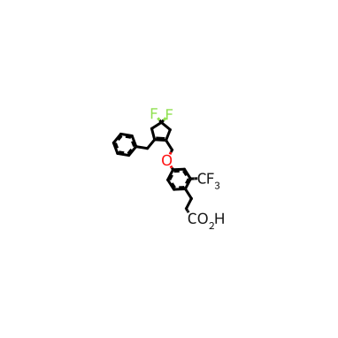 O=C(O)CCc1ccc(OCC2=C(Cc3ccccc3)CC(F)(F)C2)cc1C(F)(F)F